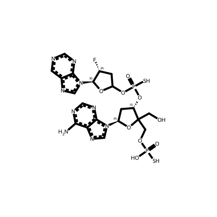 Nc1ncnc2c1ncn2[C@H]1C[C@H](OP(=O)(S)OC2C[C@@H](F)[C@H](n3cnc4cncnc43)O2)C(CO)(COP(=O)(O)S)O1